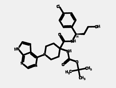 CC(C)(C)OC(=O)NC1(C(=O)N[C@H](CCO)c2ccc(Cl)cc2)CCN(c2ncnc3[nH]ccc23)CC1